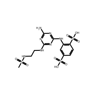 CS(=O)(=O)NCCNc1nc(N)nc(Nc2cc(S(=O)(=O)O)ccc2S(=O)(=O)O)n1